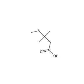 CSC(C)(C)CC(=O)O